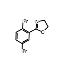 CC(C)c1ccc(C(C)C)c(C2=NCCO2)c1